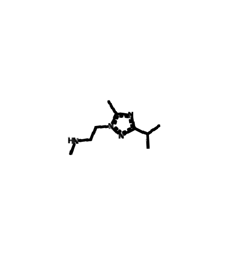 CNCCn1nc(C(C)C)nc1C